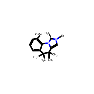 CCN1C=C2N(c3c(OC)cccc3C(C)(C)C2(C)C)[C@H]1C